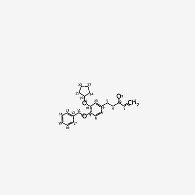 C=CC(=O)CCc1ccc(OCc2ccccc2)c(OC2CCCC2)c1